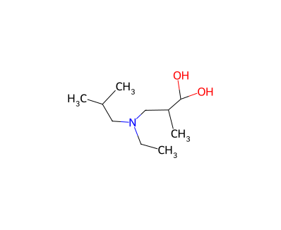 CCN(CC(C)C)CC(C)C(O)O